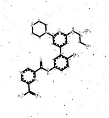 C=C(C)c1cncc(C(=O)Nc2ccc(C)c(-c3cc(N[C@H](C)CO)nc(N4CCOCC4)c3)c2)n1